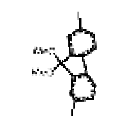 COC1(OC)c2cc(I)ccc2-c2ccc(I)cc21